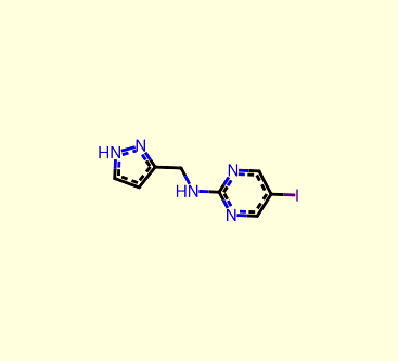 Ic1cnc(NCc2cc[nH]n2)nc1